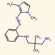 Cn1cc[n+](C)c1/N=N/c1ccccc1NCC(C)(C)CN